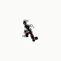 CC(C)c1ccccc1[C@H]1CCCN1C1CC2(CCN(c3ccc(C(=O)NS(=O)(=O)c4cc5c(c([N+](=O)[O-])c4)O[C@H](C4CCC(C)(O)CC4)CO5)c(Oc4cc5cc[nH]c5nc4OC(F)F)c3)CC2)C1